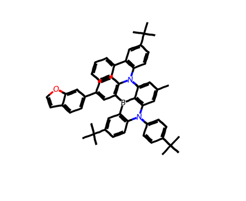 Cc1cc2c3c(c1)N(c1ccc(C(C)(C)C)cc1-c1ccccc1)c1ccc(-c4ccc5ccoc5c4)cc1B3c1cc(C(C)(C)C)ccc1N2c1ccc(C(C)(C)C)cc1